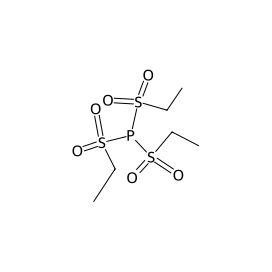 CCS(=O)(=O)P(S(=O)(=O)CC)S(=O)(=O)CC